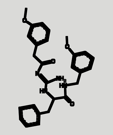 COc1cccc(CNC(=O)C(Cc2ccccc2)NC(N)=NC(=O)Cc2cccc(OC)c2)c1